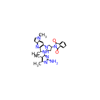 Cc1nc(N)nc(N[C@@H](C)c2nc3ccn(C)c3cc2N2CCC(N3C(=O)c4ccccc4C3=O)C2)c1C#N